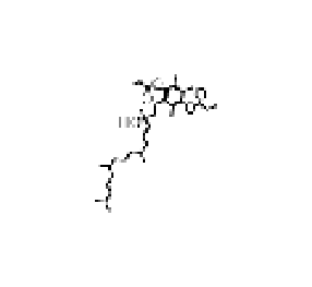 CCC(=O)Oc1c(C)c(C)c(OC(=O)CC)c(CCC(C)(O)CCCC(C)CCCC(C)CCCC(C)C)c1C